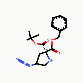 CC(C)(C)OC(=O)[C@@]1(C(=O)OCc2ccccc2)CC(N=[N+]=[N-])CN1